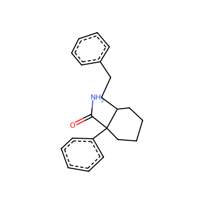 NC(=O)C1(c2ccccc2)CCCCC1CCc1ccccc1